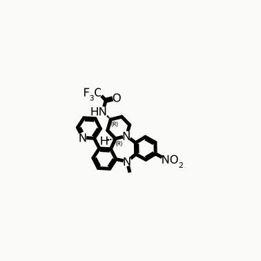 CN1c2cc([N+](=O)[O-])ccc2N2CC[C@@H](NC(=O)C(F)(F)F)C[C@@H]2c2c(-c3ccccn3)cccc21